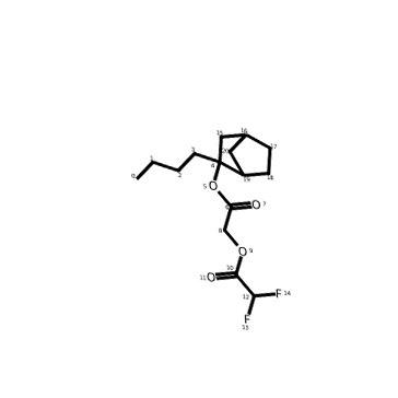 CCCCC1(OC(=O)COC(=O)C(F)F)CC2CCC1C2